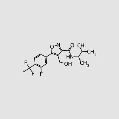 CC(C)[C@@H](C)NC(=O)c1noc(-c2ccc(C(F)(F)F)c(F)c2)c1CO